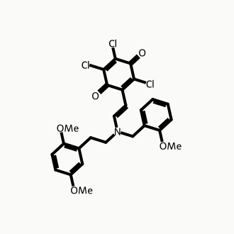 COc1ccc(OC)c(CCN(/C=C/C2=C(Cl)C(=O)C(Cl)=C(Cl)C2=O)Cc2ccccc2OC)c1